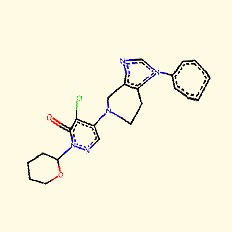 O=c1c(Cl)c(N2CCc3c(ncn3-c3ccccc3)C2)cnn1C1CCCCO1